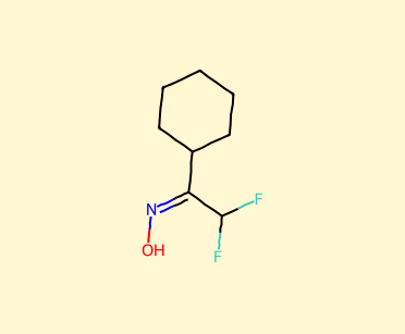 O/N=C(\C(F)F)C1CCCCC1